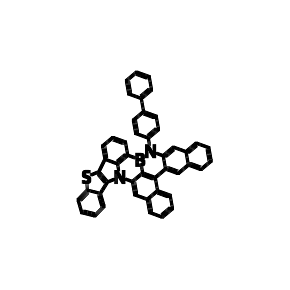 c1ccc(-c2ccc(N3B4c5c(cc6ccccc6c5-c5cc6ccccc6cc53)-n3c5c4cccc5c4sc5ccccc5c43)cc2)cc1